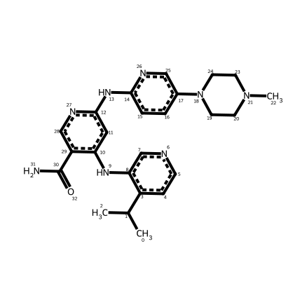 CC(C)c1ccncc1Nc1cc(Nc2ccc(N3CCN(C)CC3)cn2)ncc1C(N)=O